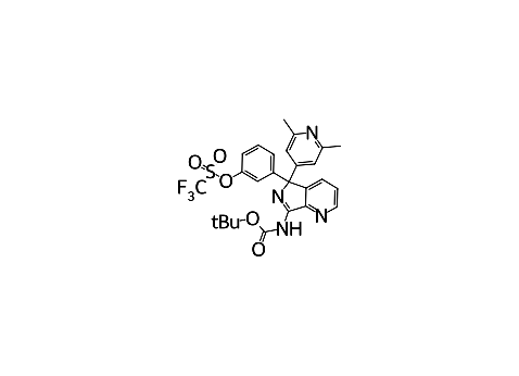 Cc1cc(C2(c3cccc(OS(=O)(=O)C(F)(F)F)c3)N=C(NC(=O)OC(C)(C)C)c3ncccc32)cc(C)n1